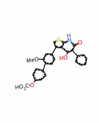 COc1cc(-c2csc3[nH]c(=O)c(-c4ccccc4)c(O)c23)ccc1-c1ccc(OC(=O)O)cc1